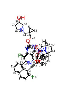 CC(C)[Si](C#Cc1c(F)ccc2cccc(-c3nc4c5c(nc(OCC6(CN7CCC(O)C7)CC6)nc5c3F)N3C[C@H]5CC[C@@H]([C@H]3[C@H](C)O4)N5C(=O)OC(C)(C)C)c12)(C(C)C)C(C)C